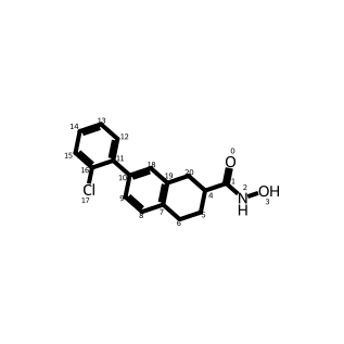 O=C(NO)C1CCc2ccc(-c3ccccc3Cl)cc2C1